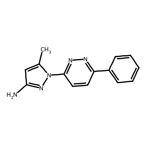 Cc1cc(N)nn1-c1ccc(-c2ccccc2)nn1